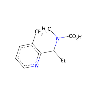 CCC(c1ncccc1C(F)(F)F)N(C)C(=O)O